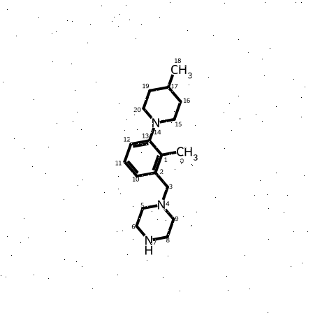 Cc1c(CN2CCNCC2)cccc1N1CCC(C)CC1